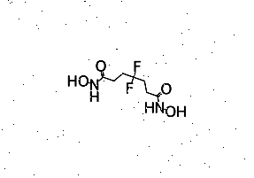 O=C(CCC(F)(F)CCC(=O)NO)NO